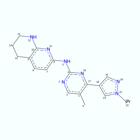 Cc1cnc(Nc2ccc3c(n2)NCCC3)nc1-c1cnn(C(C)C)c1